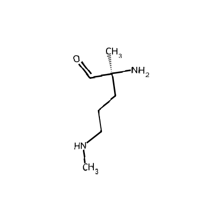 CNCCC[C@](C)(N)C=O